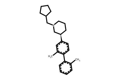 Cc1ccccc1-c1ccc([C@@H]2CCCN(CC3CCCC3)C2)cc1C